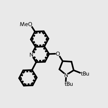 COc1ccc2c(OC3CC(C(C)(C)C)N(C(C)(C)C)C3)cc(-c3ccccc3)nc2c1